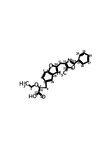 CCO[C@@H](Cc1ccc2oc(Cc3nc(-c4ccccc4)oc3C)cc2c1)C(=O)O